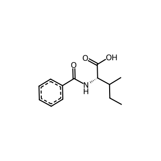 CCC(C)[C@H](NC(=O)c1ccccc1)C(=O)O